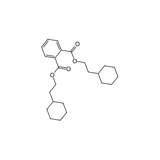 O=C(OCCC1CCCCC1)c1ccccc1C(=O)OCCC1CCCCC1